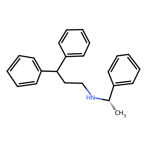 C[C@H](NCCC(c1ccccc1)c1ccccc1)c1ccccc1